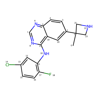 CC1(c2ccc3ncnc(Nc4cc(Cl)ccc4F)c3c2)CNC1